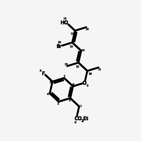 CCOC(=O)Cc1ccc(F)cc1OC(C)/C(C)=C/C(Br)=C(\C)O